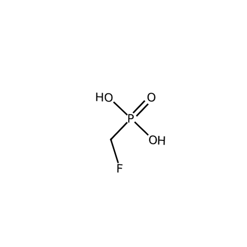 O=P(O)(O)CF